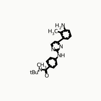 Cc1c(N)cccc1-c1ccnc(Nc2ccc(C(=O)N(C)C(C)(C)C)cc2)n1